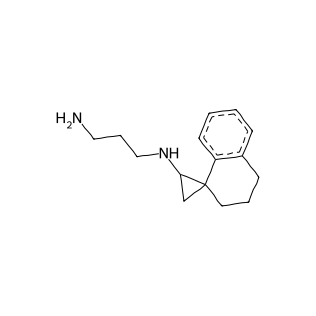 NCCCNC1CC12CCCc1ccccc12